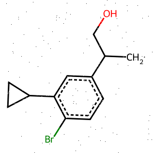 [CH2]C(CO)c1ccc(Br)c(C2CC2)c1